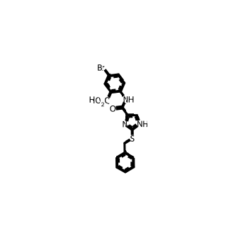 O=C(Nc1ccc(Br)cc1C(=O)O)c1c[nH]c(SCc2ccccc2)n1